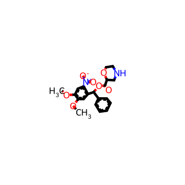 COc1cc(C(OC(=O)C2CNCCO2)c2ccccc2)c([N+](=O)[O-])cc1OC